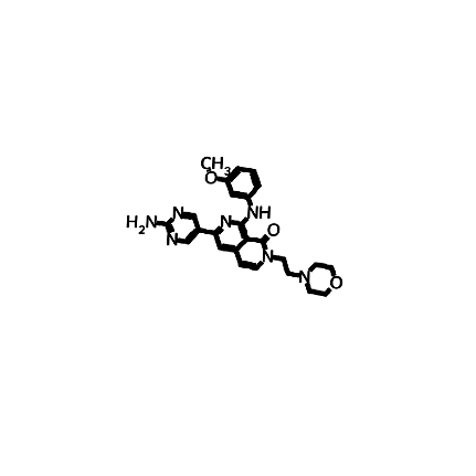 COc1cccc(Nc2nc(-c3cnc(N)nc3)cc3ccn(CCN4CCOCC4)c(=O)c23)c1